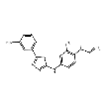 C=NNc1ccc(Nc2nnc(-c3cncc(N)c3)s2)cc1C